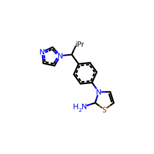 CC(C)C(c1ccc(N2C=CSC2N)cc1)n1ccnc1